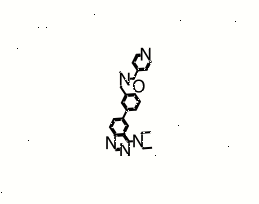 CCN(CC)c1ncnc2ccc(-c3cccc(CN(C)C(=O)c4ccncc4)c3)cc12